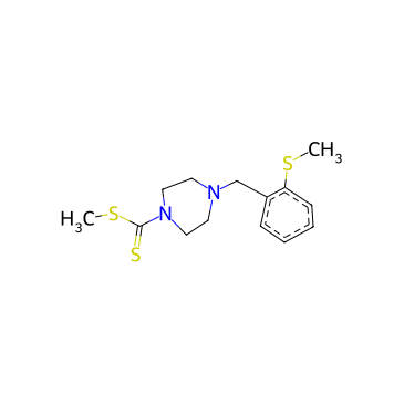 CSC(=S)N1CCN(Cc2ccccc2SC)CC1